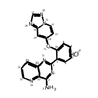 Cl.Nc1nc(-c2ccccc2Oc2ccn3ncnc3c2)nc2cccnc12